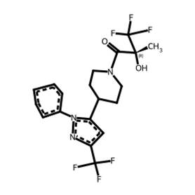 C[C@@](O)(C(=O)N1CCC(c2cc(C(F)(F)F)nn2-c2ccccc2)CC1)C(F)(F)F